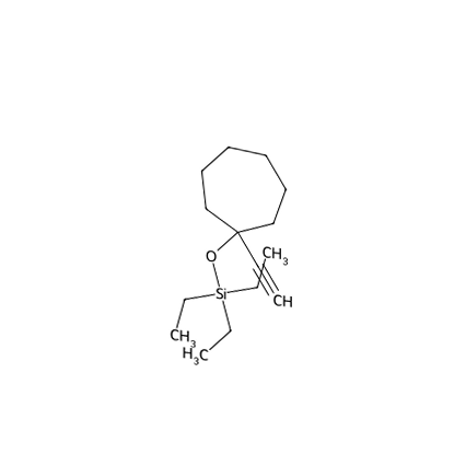 C#CC1(O[Si](CC)(CC)CC)CCCCCC1